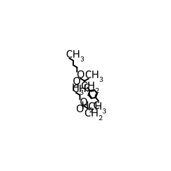 C=C(C)C(=O)OCCCC.C=C(CC)C(=O)OCCCCCC.C=Cc1ccc(C)cc1